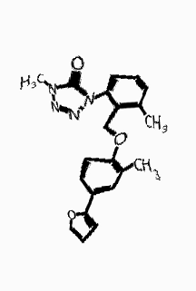 Cc1cc(-c2ccco2)ccc1OCc1c(C)cccc1-n1nnn(C)c1=O